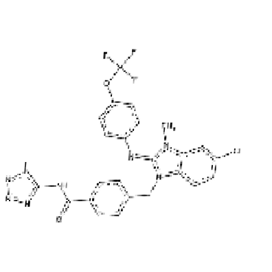 Cn1c(=Nc2ccc(OC(F)(F)F)cc2)n(Cc2ccc(C(=O)Nc3nnn[nH]3)cc2)c2ccc(Cl)cc21